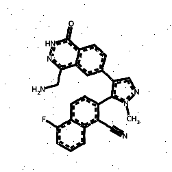 Cn1ncc(-c2ccc3c(=O)[nH]nc(CN)c3c2)c1-c1ccc2c(F)cccc2c1C#N